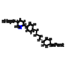 CCCCCCCc1ccc(-c2ccc(CCC=C[C@H]3CC[C@H](CCCCC)CC3)cc2)nc1